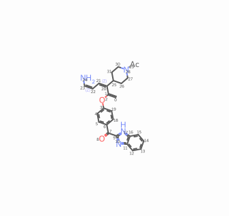 C=C(Oc1ccc(C(=O)c2nc3ccccc3[nH]2)cc1)/C(=C\C=C/N)C1CCN(C(C)=O)CC1